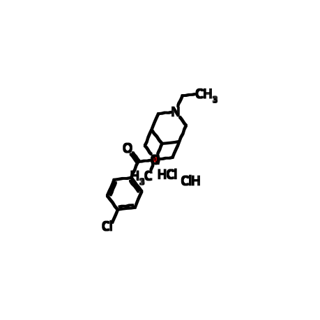 CCN1CC2CN(C)CC(C1)C2OC(=O)c1ccc(Cl)cc1.Cl.Cl